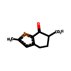 Cc1cc2c(s1)C(=O)C(C(=O)O)CC2